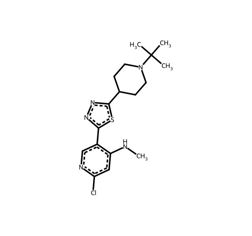 CNc1cc(Cl)ncc1-c1nnc(C2CCN(C(C)(C)C)CC2)s1